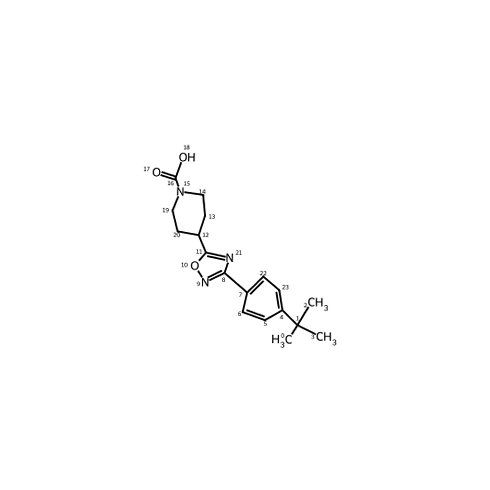 CC(C)(C)c1ccc(-c2noc(C3CCN(C(=O)O)CC3)n2)cc1